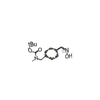 CN(Cc1ccc(/C=N\O)cc1)C(=O)OC(C)(C)C